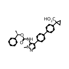 C[C@@H](OC(=O)Nc1c(-c2ccc(-c3ccc(C4(C(=O)O)CC4)cc3)cc2)cnn1C)c1ccccc1